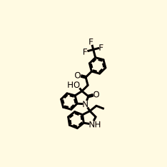 CCC1(N2C(=O)C(O)(CC(=O)c3cccc(C(F)(F)F)c3)c3ccccc32)CNc2ccccc21